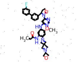 C=CC(=O)Nc1cc(Nc2cc(N3OCCC3c3cccc(-c4cccc(F)c4)c3)ncn2)c(OC)cc1N1CC2(C1)CN(C1COC1)C2